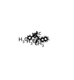 CC(=O)N1N=C(c2ccc(C)cc2)CC1CC(=C=C(C)C)c1ccc2ccccc2c1